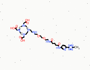 Cc1nnc(-c2ccc(NC(=O)CCCC(=O)NCCOCCOCCNCCN3CCN(CC(=O)O)CCN(CC(=O)O)CCN(CC(=O)O)CC3)cn2)nn1